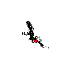 CCOCCC(=O)NCC(=O)O[C@]1(CC)C(=O)OCc2c1cc1n(c2=O)Cc2c-1nc1ccc(OC(=O)N3CCC(N4CCCCC4)CC3)cc1c2CC